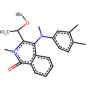 Cc1ccc(N(C)c2c(C(OC(C)(C)C)C(=O)O)n(C)c(=O)c3ccccc23)cc1C